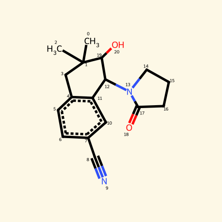 CC1(C)Cc2ccc(C#N)cc2C(N2CCCC2=O)C1O